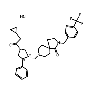 Cl.O=C(CC1CC1)N1C[C@H](CN2CCC3(CC2)CCN(Cc2ccc(C(F)(F)F)cc2)C3=O)[C@@H](c2ccccc2)C1